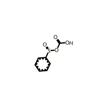 O=C(O)OS(=O)c1ccccc1